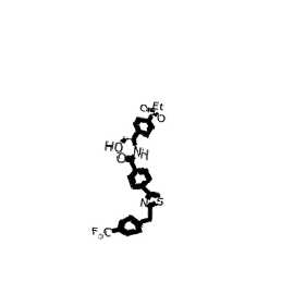 CCS(=O)(=O)c1ccc([C@@H](CO)NC(=O)c2ccc(-c3csc(Cc4ccc(C(F)(F)F)cc4)n3)cc2)cc1